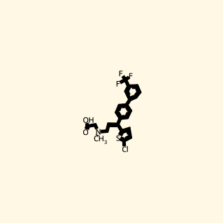 CN(C/C=C(/c1ccc(-c2cccc(C(F)(F)F)c2)cc1)c1ccc(Cl)s1)CC(=O)O